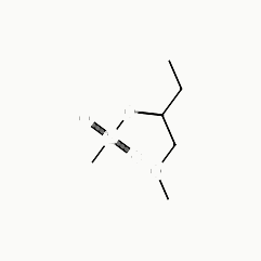 CCC(COC)OS(C)(=O)=O